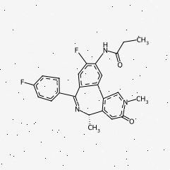 CCC(=O)Nc1cc2c(cc1F)C(c1ccc(F)cc1)=N[C@@H](C)c1cc(=O)n(C)cc1-2